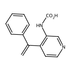 C=C(c1ccccc1)c1ccncc1NC(=O)O